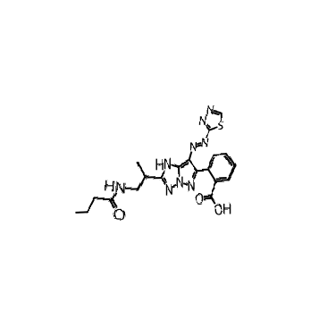 CCCC(=O)NCC(C)c1nn2nc(-c3ccccc3C(=O)O)c(N=Nc3nncs3)c2[nH]1